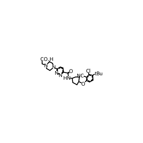 CC(C)(C)c1ccc(OC2CCC(NC(=O)c3ccc(N4CCN(CC(=O)O)CC4)nn3)CC2)c(C#N)c1Cl